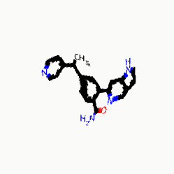 CC(c1ccncc1)c1ccc(C(N)=O)c(-c2cc3[nH]ccc3cn2)c1